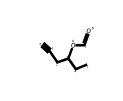 C#CCC(CC)OC=O